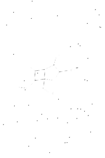 COC1C(O)C2C(O)C(O)OC12CO